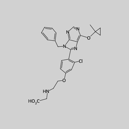 CC1(Oc2ncnc3c2nc(-c2ccc(OCCNCC(=O)O)cc2Cl)n3Cc2ccccc2)CC1